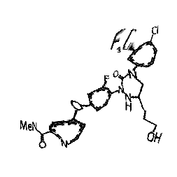 CNC(=O)c1cc(Oc2ccc(N3NC(CCCO)CN(c4ccc(Cl)c(C(F)(F)F)c4)C3=O)c(F)c2)ccn1